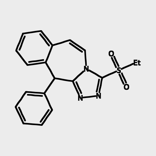 CCS(=O)(=O)c1nnc2n1C=Cc1ccccc1C2c1ccccc1